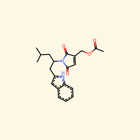 CC(=O)OCC1=CC(=O)N(C(Cc2cc3ccccc3[nH]2)CC(C)C)C1=O